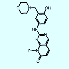 CC(C)n1c(=O)ccc2cnc(Nc3ccc(O)c(CN4CCOCC4)c3)nc21